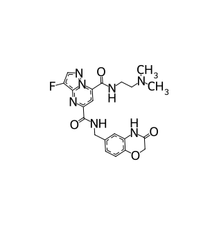 CN(C)CCNC(=O)c1cc(C(=O)NCc2ccc3c(c2)NC(=O)CO3)nc2c(F)cnn12